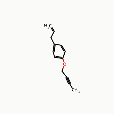 C=CCc1ccc(OCC#CC)cc1